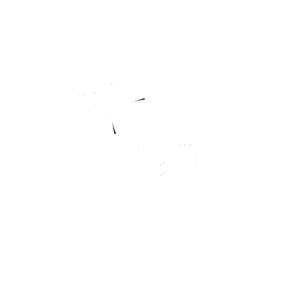 C[C@@H]1OC(C)(C)O[C@@H]1C(=O)CCc1ccccc1